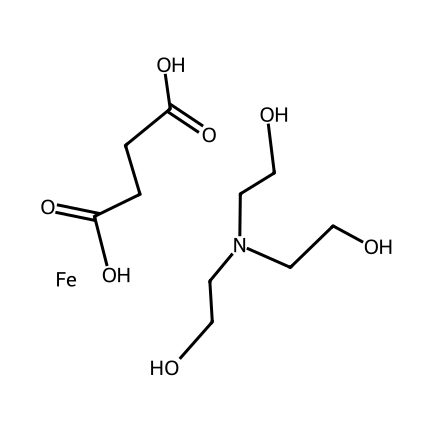 O=C(O)CCC(=O)O.OCCN(CCO)CCO.[Fe]